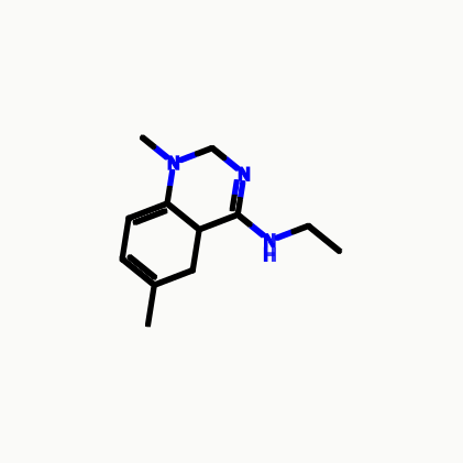 CCNC1=NCN(C)C2=CC=C(C)CC21